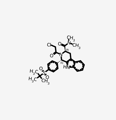 CN(C)C(=O)[C@H]1Cc2c([nH]c3ccccc23)[C@H](c2ccc(S(=O)(=O)C(C)(C)C)cc2)N1C(=O)CCl